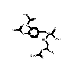 COC(=O)[C@H](Cc1ccc(OC(=O)C(C)(C)C)c(OC(=O)C(C)(C)C)c1)NCC(C)OC(=O)OCC(C)C